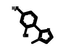 Cn1ccnc1-c1ccc(N)cc1O